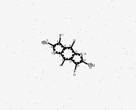 Cc1c2sc(C(C)(C)C)c(F)c2c(C)c2sc(C(C)(C)C)c(F)c12